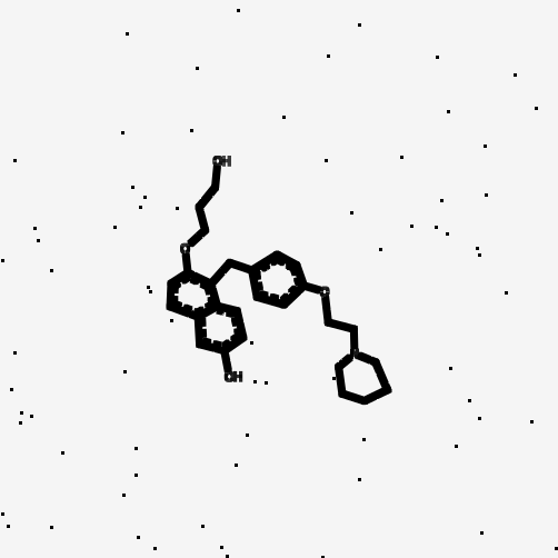 OCCCOc1ccc2cc(O)ccc2c1Cc1ccc(OCCN2CCCCC2)cc1